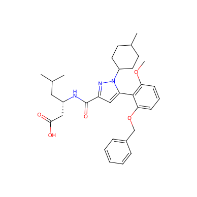 COc1cccc(OCc2ccccc2)c1-c1cc(C(=O)N[C@H](CC(=O)O)CC(C)C)nn1C1CCC(C)CC1